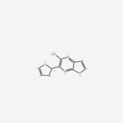 Oc1nc2ccsc2nc1C1CC=CS1